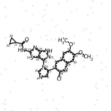 COc1cc2cc(-c3cncn3-c3n[nH]c4nc(NC(=O)C5CC5)sc34)c(Cl)nc2cc1OC